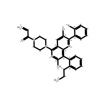 C=CC(=O)N1CCN(c2nc(C)c(-c3ccccc3CCC)c3nc(-c4ccccc4F)c(Cl)cc23)CC1